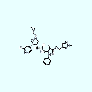 COCCN1C[C@@H](NC(=O)Nc2c(C)c(OCc3cnn(C)c3)nn2-c2ccccc2)[C@H](c2ccnc(F)c2)O1